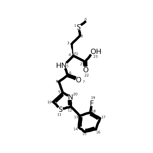 CSCC[C@H](NC(=O)Cc1csc(-c2ccccc2F)n1)C(=O)O